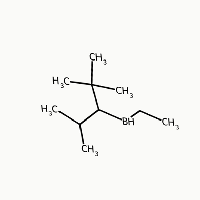 CCBC(C(C)C)C(C)(C)C